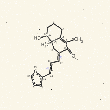 CC1=C2CCC[C@H](O)[C@@]2(C)C/C(=C\C=C\c2ccco2)C1=O